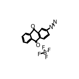 F[B-](F)(F)F.N#[N+]c1ccc2c(c1)C(=O)c1ccccc1C2=O